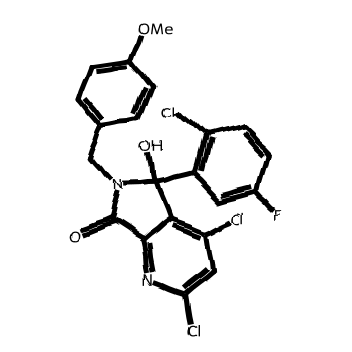 COc1ccc(CN2C(=O)c3nc(Cl)cc(Cl)c3C2(O)c2cc(F)ccc2Cl)cc1